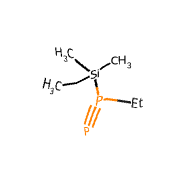 CCP(#P)[Si](C)(C)C